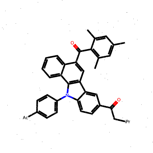 CC(=O)c1ccc(-n2c3ccc(C(=O)CC(C)C)cc3c3cc(C(=O)c4c(C)cc(C)cc4C)c4ccccc4c32)cc1